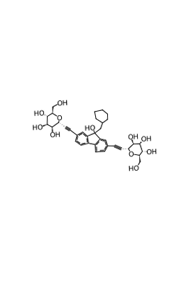 OC[C@H]1O[C@H](C#Cc2ccc3c(c2)C(O)(CC2CCCCC2)c2cc(C#C[C@H]4O[C@H](CO)[C@@H](O)[C@H](O)[C@@H]4O)ccc2-3)[C@@H](O)[C@@H](O)[C@@H]1O